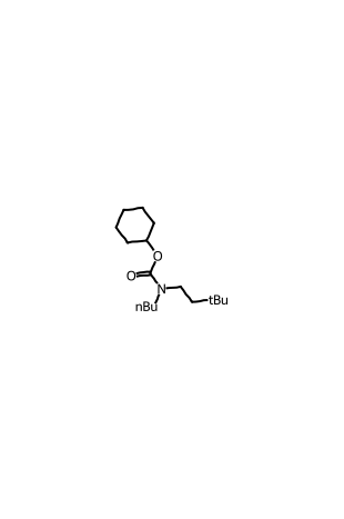 CCCCN(CCC(C)(C)C)C(=O)OC1CCCCC1